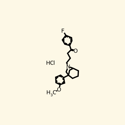 COc1cccc(C23CCCC(C2)N(CCCC(=O)c2ccc(F)cc2)C3)c1.Cl